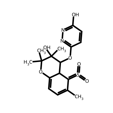 CC1=CC=C2OC(C)(C)C(C)(O)C(Oc3ccc(O)nn3)C2C1=S(=O)=O